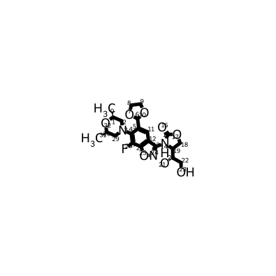 C[C@@H]1CN(c2c(C3OCCO3)cc3c(N4C(=O)OCC4[C@@H](O)CO)noc3c2F)C[C@@H](C)O1